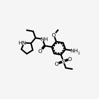 CCC(NC(=O)c1cc(S(=O)(=O)CC)c(N)cc1OC)C1CCCN1